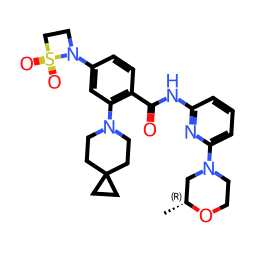 C[C@@H]1CN(c2cccc(NC(=O)c3ccc(N4CCS4(=O)=O)cc3N3CCC4(CC3)CC4)n2)CCO1